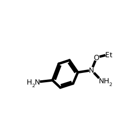 CCON(N)c1ccc(N)cc1